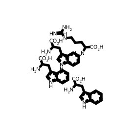 N=C(N)NCCCC(N)C(=O)O.NC(Cc1c[nH]c2ccccc12)C(=O)O.NC(Cc1c[nH]c2ccccc12)C(=O)O.NC(Cc1c[nH]c2ccccc12)C(=O)O